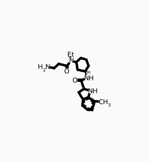 CCN(C(=O)CCN)C1CCC[C@@H](NC(=O)C2Cc3cccc(C)c3N2)C1